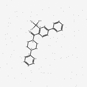 O=C(c1ccc(-c2ccccc2)cc1C(F)(F)F)N1CCN(c2ccccn2)CC1